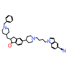 N#Cc1ccc2c(ccn2CCCCN2CCC(c3ccc4c(c3)CC(CC3CCN(Cc5ccccc5)CC3)C4=O)CC2)c1